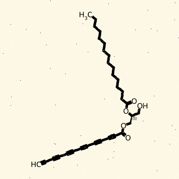 C#CC#CC#CC#CC#CC#CC(=O)OC[C@H](CO)OC(=O)CCCCCCCCCCCCCCC